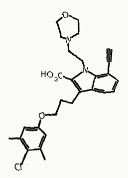 C#Cc1cccc2c(CCCOc3cc(C)c(Cl)c(C)c3)c(C(=O)O)n(CCN3CCOCC3)c12